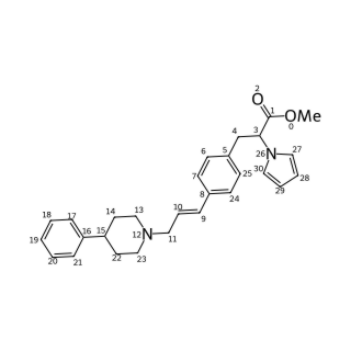 COC(=O)C(Cc1ccc(C=CCN2CCC(c3ccccc3)CC2)cc1)n1cccc1